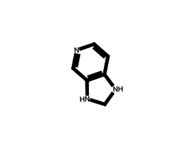 [c]1cc2c(cn1)NCN2